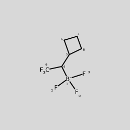 F[B-](F)(F)C(C1CCC1)C(F)(F)F